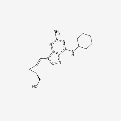 Nc1nc(NC2CCCCC2)c2ncn(/C=C3/C[C@@H]3CO)c2n1